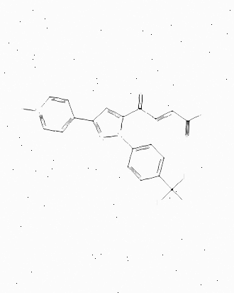 CC(=O)C=CC(=O)c1cc(-c2cc[n+]([O-])cc2)nn1-c1ccc(C(F)(F)F)cc1